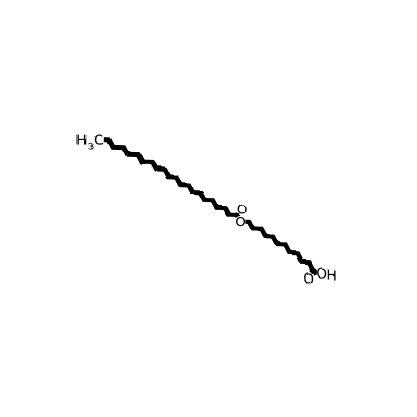 CCCCCCCCC=CCCCCCCCCCCCC(=O)OCCCCCCCCCCCC(=O)O